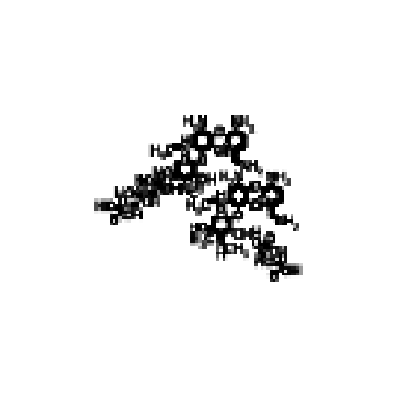 CCN[C@@H]1C[C@H](N)[C@@H](O[C@H]2OC(CN)=CC[C@H]2N)[C@H](O)[C@H]1O[C@H]1OC[C@](C)(O)[C@H](NC)[C@H]1O.CCN[C@@H]1C[C@H](N)[C@@H](O[C@H]2OC(CN)=CC[C@H]2N)[C@H](O)[C@H]1O[C@H]1OC[C@](C)(O)[C@H](NC)[C@H]1O.O=S(=O)(O)O.O=S(=O)(O)O.O=S(=O)(O)O.O=S(=O)(O)O.O=S(=O)(O)O